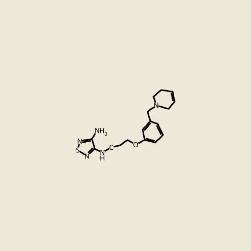 Nc1nsnc1NCCCOc1cccc(CN2CC=CCC2)c1